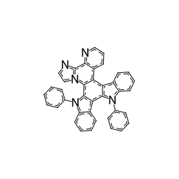 c1ccc(-n2c3ccccc3c3c4c5cccnc5c5nccn5c4c4c(c5ccccc5n4-c4ccccc4)c32)cc1